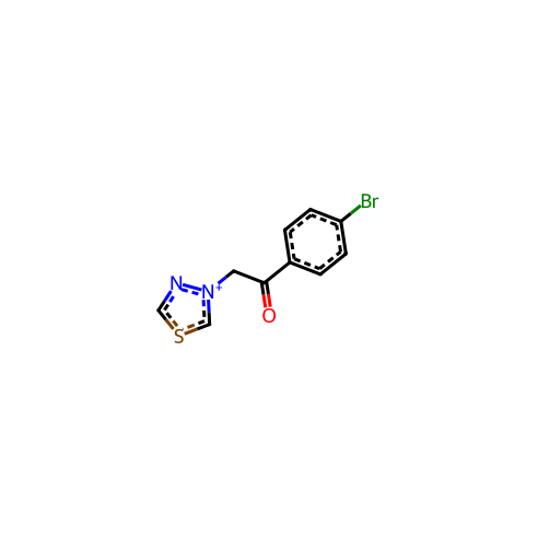 O=C(C[n+]1cscn1)c1ccc(Br)cc1